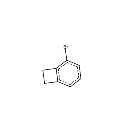 Brc1cccc2c1CC2